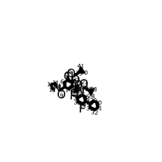 O=C(Oc1c(Cl)cc(C(=O)N2CCC2)cc1S(=O)(=O)N(C(=O)C1CC1)c1cc(-c2ccccc2)c(F)cc1F)C1CC1